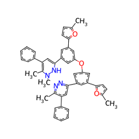 CC1=C(c2ccccc2)C=C(c2cc(Oc3cc(-c4cc(-c5ccccc5)c(C)nn4)cc(-c4ccc(C)o4)c3)cc(-c3ccc(C)o3)c2)NN1C